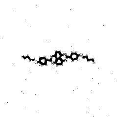 CCCCCOc1ccc(C2=Nc3ccc4c5c(ccc(c35)S2)N=C(C2CCC(OCCCCC)CC2)S4)cc1